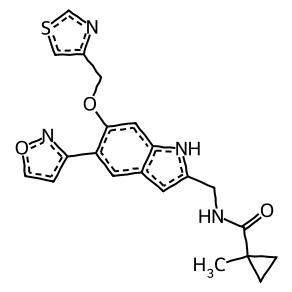 CC1(C(=O)NCc2cc3cc(-c4ccon4)c(OCc4cscn4)cc3[nH]2)CC1